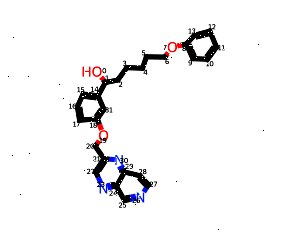 OC(CCCCCOc1ccccc1)c1cccc(OCc2cnc3cnccc3n2)c1